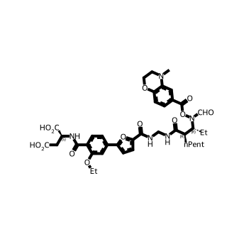 CCCCC[C@@H](C(=O)NCNC(=O)c1ccc(-c2ccc(C(=O)N[C@@H](CC(=O)O)C(=O)O)c(OCC)c2)o1)[C@@H](CC)N(C=O)OC(=O)c1ccc2c(c1)N(C)CCO2